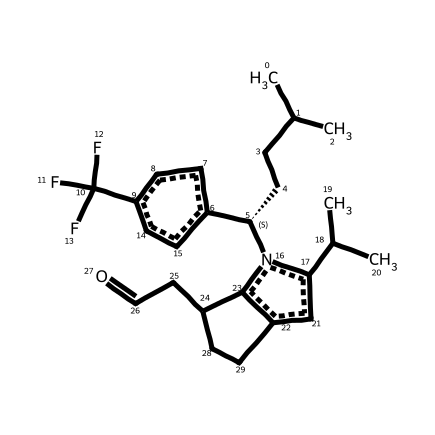 CC(C)CC[C@@H](c1ccc(C(F)(F)F)cc1)n1c(C(C)C)cc2c1C(CC=O)CC2